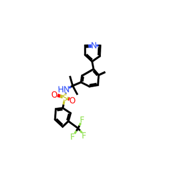 Cc1ccc(C(C)(C)NS(=O)(=O)c2cccc(C(F)(F)F)c2)cc1-c1ccncc1